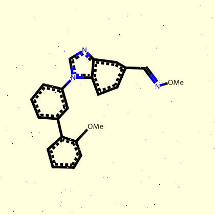 CON=Cc1ccc2c(c1)ncn2-c1cccc(-c2ccccc2OC)c1